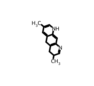 CC1=CNC2=CC3=C(CC2=C1)CC(C)C=N3